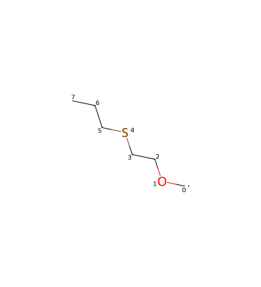 [CH2]OCCSCCC